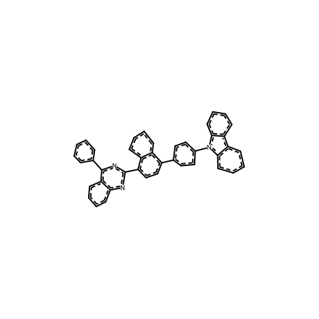 c1ccc(-c2nc(-c3ccc(-c4ccc(-n5c6ccccc6c6ccccc65)cc4)c4ccccc34)nc3ccccc23)cc1